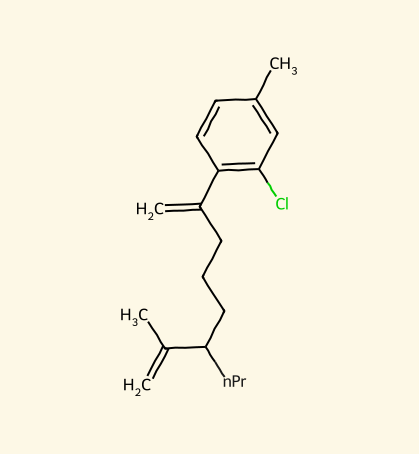 C=C(CCCC(CCC)C(=C)C)c1ccc(C)cc1Cl